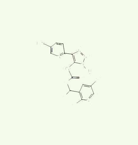 CC(OC(=O)Nc1c(-c2ccc(N)cn2)nnn1C)c1cc(Br)cnc1F